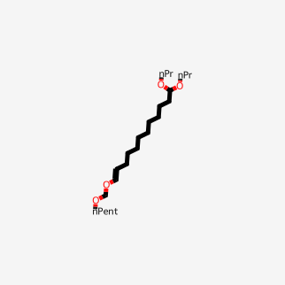 CCCCCOCOC=CCCCCCCCCCC(OCCC)OCCC